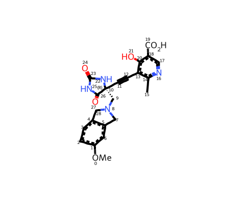 COc1ccc2c(c1)CN(C[C@@]1(C#Cc3c(C)ncc(C(=O)O)c3O)NC(=O)NC1=O)C2